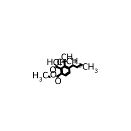 CCCCc1ccc(C(=O)OCC)c(C(=O)O)c1C(C)(C)C